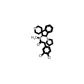 CN(C(=O)Cc1ccc(Cl)c(Cl)c1)[C@@H]1[C@@H](N2CCCC2)c2ccccc2C12CCOCC2